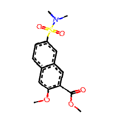 COC(=O)c1cc2cc(S(=O)(=O)N(C)C)ccc2cc1OC